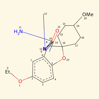 CCOc1ccc2c(c1)C1(N=C(N)N(C)C1=O)C1(CCC(OC)CC1)O2